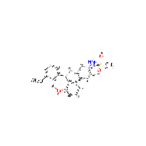 COc1cccc2c1COc1ccccc1[C@H]2Cc1cccc(NS(C)(=O)=O)c1